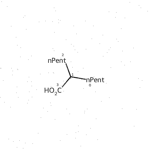 CCCCC[C](CCCCC)C(=O)O